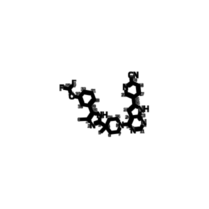 Cc1nc(C2(C)CCN(c3ncnc4[nH]c(-c5ccc(C#N)nc5)cc34)CC2)[nH]c1-c1cccc(OC(F)F)c1